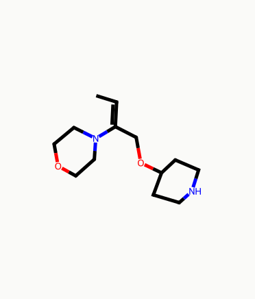 C/C=C(/COC1CCNCC1)N1CCOCC1